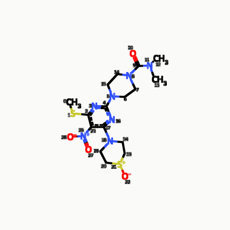 CSc1nc(N2CCN(C(=O)N(C)C)CC2)nc(N2CC[S+]([O-])CC2)c1[N+](=O)[O-]